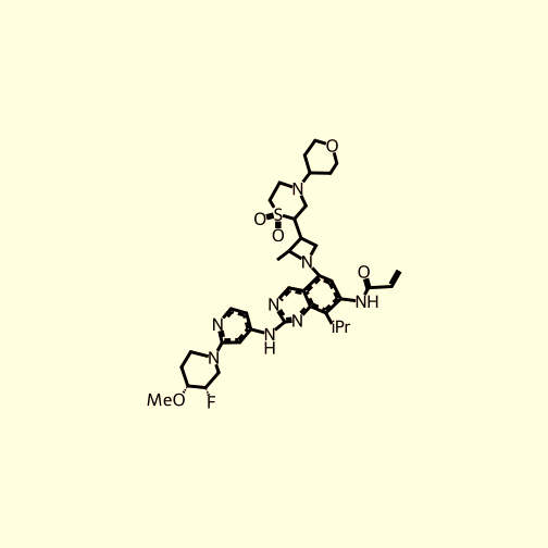 C=CC(=O)Nc1cc(N2CC(C3CN(C4CCOCC4)CCS3(=O)=O)C2C)c2cnc(Nc3ccnc(N4CC[C@@H](OC)[C@@H](F)C4)c3)nc2c1C(C)C